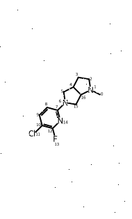 CN1CCC2CN(c3ccc(Cl)c(F)n3)CC21